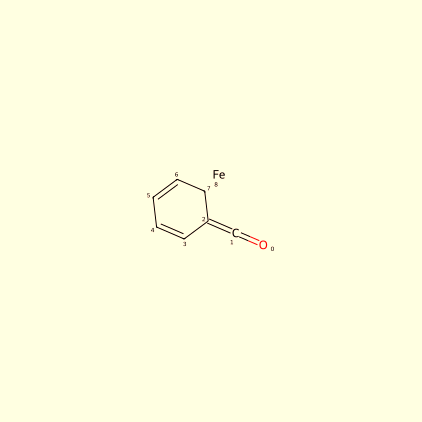 O=C=C1C=CC=CC1.[Fe]